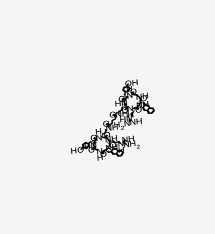 N=C(N)NCCC[C@@H]1NC(=O)[C@H](CCCNC(=O)CCCC(=O)NCCC[C@@H]2NC(=O)[C@@H](Cc3ccc(O)cc3)NC(=O)CNC(=O)[C@H](Cc3ccc4ccccc4c3)NC(=O)[C@H](CCCNC(=N)N)NC2=O)NC(=O)[C@@H](Cc2ccc(O)cc2)NC(=O)CNC(=O)[C@H](Cc2ccc3ccccc3c2)NC1=O